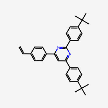 C=Cc1ccc(-c2cc(-c3ccc(C(C)(C)C)cc3)nc(-c3ccc(C(C)(C)C)cc3)n2)cc1